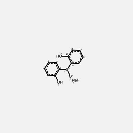 [NaH].[O-][S+](c1ccccc1O)c1ccccc1O